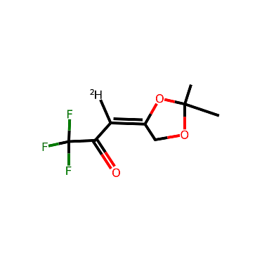 [2H]C(C(=O)C(F)(F)F)=C1COC(C)(C)O1